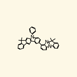 CC1(C)c2ccccc2-c2cc3c4cc(-c5cccc6c5nc5n6-c6ccccc6C5(C)C)ccc4n(-c4ccccc4)c3cc21